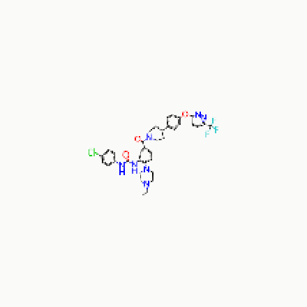 CCN1CCN(c2ccc(C(=O)N3CCC(c4ccc(Oc5ccc(C(F)(F)F)nn5)cc4)CC3)cc2NC(=O)Nc2ccc(Cl)cc2)CC1